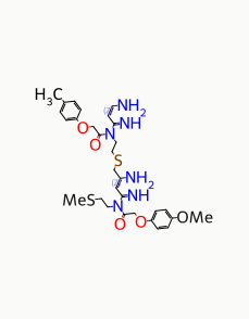 COc1ccc(OCC(=O)N(CCSC)C(=N)/C=C(\N)CSCCN(C(=N)/C=C\N)C(=O)COc2ccc(C)cc2)cc1